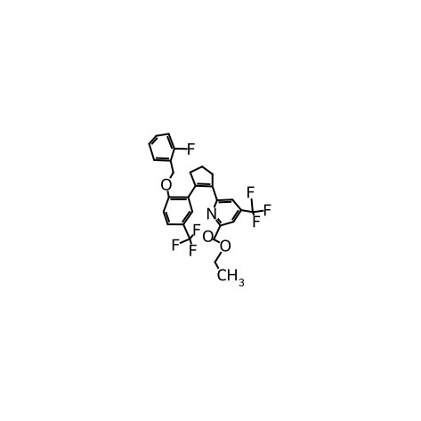 CCOC(=O)c1cc(C(F)(F)F)cc(C2=C(c3cc(C(F)(F)F)ccc3OCc3ccccc3F)CCC2)n1